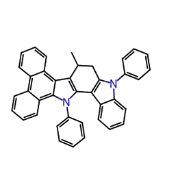 CC1Cc2c(c3ccccc3n2-c2ccccc2)-c2c1c1c3ccccc3c3ccccc3c1n2-c1ccccc1